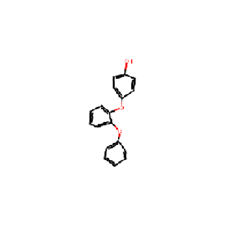 Oc1ccc(Oc2ccccc2Oc2ccccc2)cc1